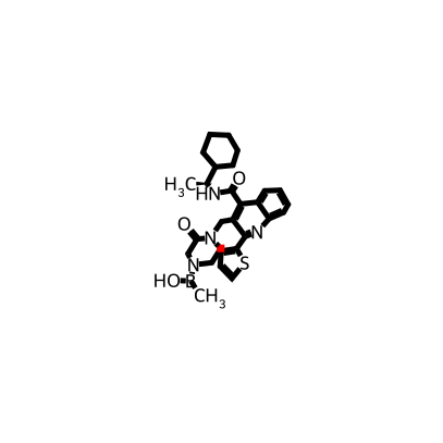 CB(O)N1CCN(Cc2c(-c3cccs3)nc3ccccc3c2C(=O)N[C@@H](C)C2CCCCC2)C(=O)C1